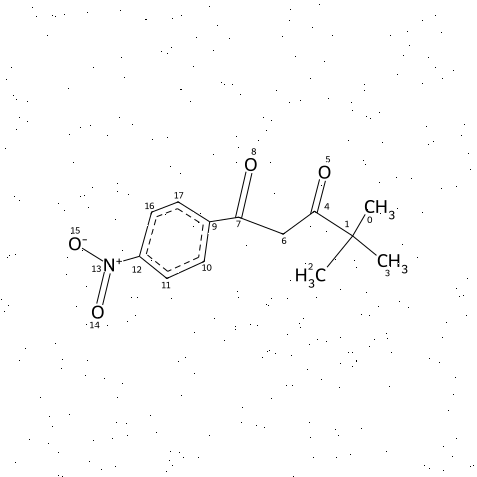 CC(C)(C)C(=O)CC(=O)c1ccc([N+](=O)[O-])cc1